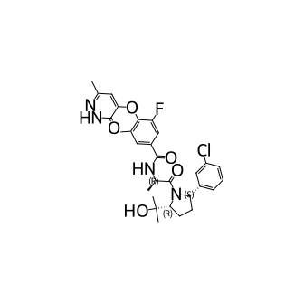 Cc1cc(Oc2c(C)cc(C(=O)N[C@H](C)C(=O)N3[C@H](c4cccc(Cl)c4)CC[C@@H]3C(C)(C)O)cc2F)c(=O)[nH]n1